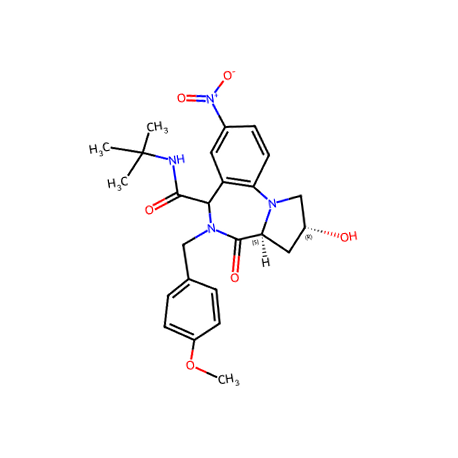 COc1ccc(CN2C(=O)[C@@H]3C[C@@H](O)CN3c3ccc([N+](=O)[O-])cc3C2C(=O)NC(C)(C)C)cc1